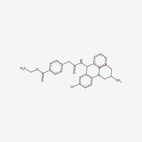 CCOC(=O)c1ccc(CC(=O)NC(c2ccccc2)c2cc(Cl)ccc2N2CCCC(C)C2)cc1